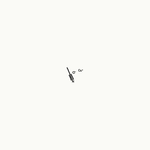 CC#N.[Cl-].[Cu+]